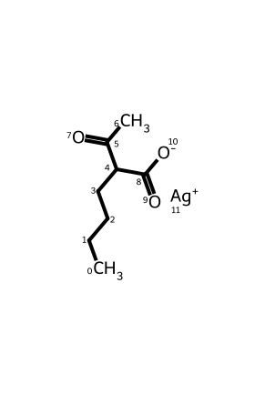 CCCCC(C(C)=O)C(=O)[O-].[Ag+]